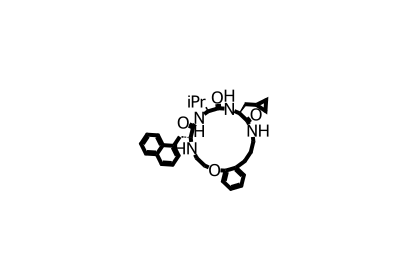 CC(C)[C@H]1NC(=O)[C@@H](Cc2cccc3ccccc23)NCCOc2ccccc2CCCNC(=O)[C@H](CC2CC2)NC1=O